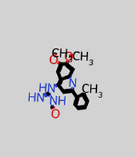 COc1cc2nc(-c3ccccc3C)cc(NC(=N)NC=O)c2cc1OC